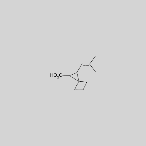 CC(C)=CC1C(C(=O)O)C12CCC2